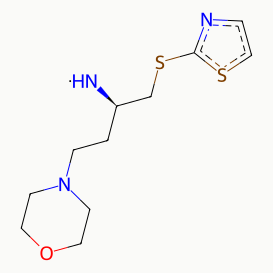 [NH][C@H](CCN1CCOCC1)CSc1nccs1